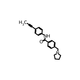 CC#Cc1ccc(NC(=O)c2ccc(CN3CCCC3)cc2)cc1